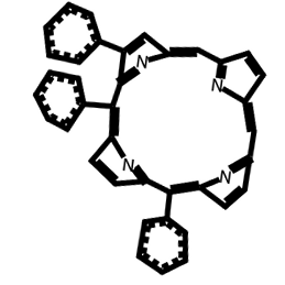 C1=CC2=NC1=CC1=NC(=C(c3ccccc3)C3=NC(=C(c4ccccc4)C4=NC(=C2)C=C4c2ccccc2)C=C3)C=C1